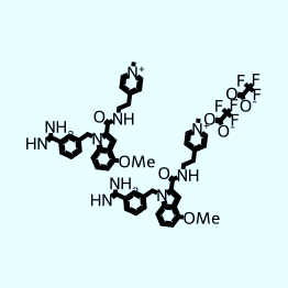 COc1cccc2c1cc(C(=O)NCCc1cc[n+](C)cc1)n2Cc1cccc(C(=N)N)c1.COc1cccc2c1cc(C(=O)NCCc1cc[n+](C)cc1)n2Cc1cccc(C(=N)N)c1.O=C([O-])C(F)(F)F.O=C([O-])C(F)(F)F